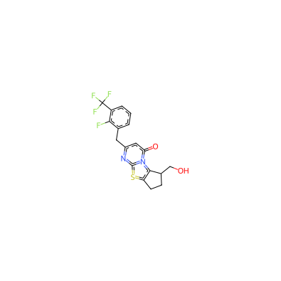 O=c1cc(Cc2cccc(C(F)(F)F)c2F)nc2sc3c(n12)C(CO)CC3